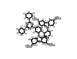 CC(C)(C)c1ccc2c(c1)c1cc(C(C)(C)C)ccc1n2-c1ccncc1-c1ccc(-c2nc(-c3ccccc3)nc(-c3ccccc3)n2)cc1-n1c2ccc(C(C)(C)C)cc2c2cc(C(C)(C)C)ccc21